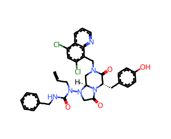 C=CCN(C(=O)NCc1ccccc1)N1CC(=O)N2[C@@H](Cc3ccc(O)cc3)C(=O)N(Cc3c(Cl)cc(Cl)c4cccnc34)C[C@@H]21